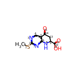 CSc1ncc2c(n1)NC(C(=O)O)CC2=O